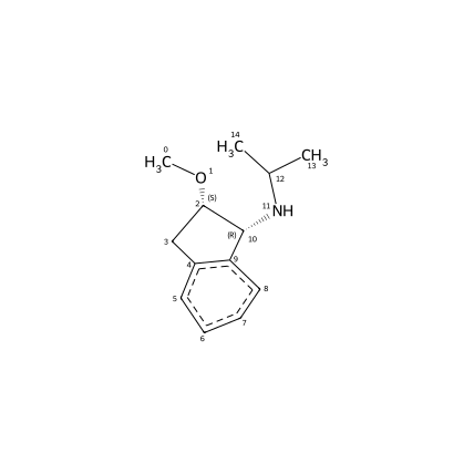 CO[C@H]1Cc2ccccc2[C@H]1NC(C)C